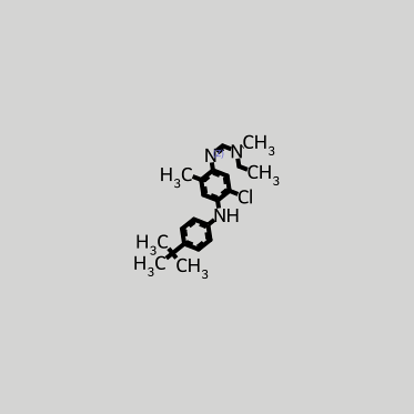 CCN(C)/C=N\c1cc(Cl)c(Nc2ccc(C(C)(C)C)cc2)cc1C